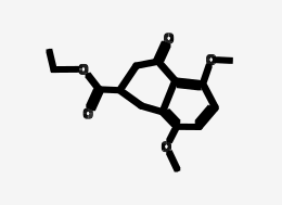 CCOC(=O)C1CC(=O)c2c(OC)ccc(OC)c2C1